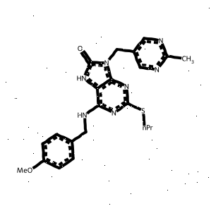 CCCSc1nc(NCc2ccc(OC)cc2)c2[nH]c(=O)n(Cc3cnc(C)nc3)c2n1